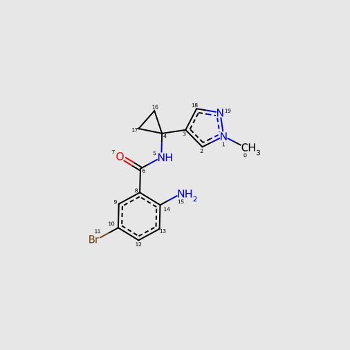 Cn1cc(C2(NC(=O)c3cc(Br)ccc3N)CC2)cn1